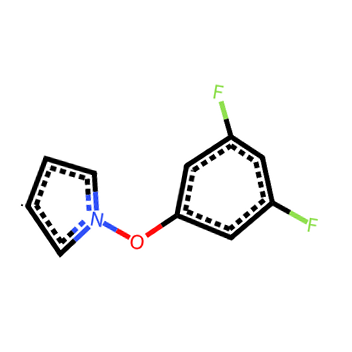 Fc1cc(F)cc(On2c[c]cc2)c1